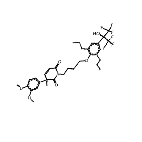 CCCc1cc(C(O)(C(F)(F)F)C(F)(F)F)cc(CCC)c1OCCCCN1C(=O)C=CC(C)(c2ccc(OC)c(OC)c2)C1=O